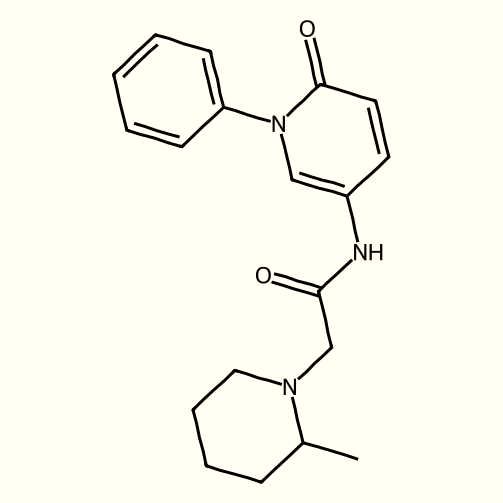 CC1CCCCN1CC(=O)Nc1ccc(=O)n(-c2ccccc2)c1